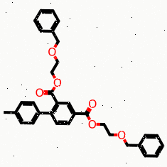 Cc1ccc(-c2ccc(C(=O)OCCOCc3ccccc3)cc2C(=O)OCCOCc2ccccc2)cc1